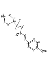 CC(=O)Oc1ccc(/C=C/C(=O)OC(C)(C)C2CCNCC2)cc1